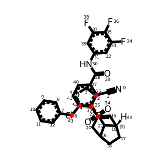 N#CC1CON(Cc2ccccc2)C1C1=C[C@@H]2CCC(C1)C2S(=O)(=O)c1cc(C(=O)Nc2cc(F)c(F)c(F)c2)ccc1Cl